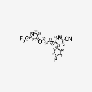 N#Cc1cc(-c2ccc(F)cc2)c(OCCCOc2ccnc(C(F)(F)F)c2)cn1